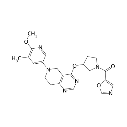 COc1ncc(N2CCc3ncnc(OC4CCN(C(=O)c5cnco5)C4)c3C2)cc1C